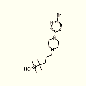 CC(C)(CCCN1CCN(c2ccc(Br)nc2)CC1)[Si](C)(C)O